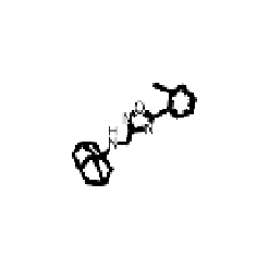 Cc1ccccc1-c1nc(CNC23CC4CC(CC(C4)C2)C3)no1